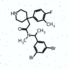 Cc1cc(C2(CC(=O)N(C)C(C)c3cc(Br)cc(Br)c3)CCNCC2)ccc1F